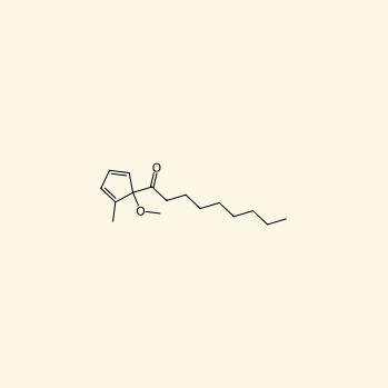 CCCCCCCCC(=O)C1(OC)C=CC=C1C